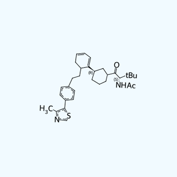 CC(=O)N[C@H](C(=O)C1CCC[C@@H](C2=CC=CCC2CCc2ccc(-c3scnc3C)cc2)C1)C(C)(C)C